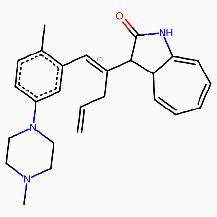 C=CC/C(=C\c1cc(N2CCN(C)CC2)ccc1C)C1C(=O)NC2=CC=CC=CC21